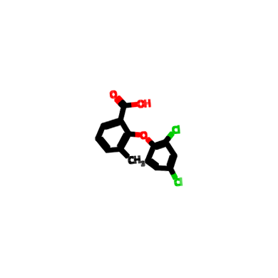 Cc1cccc(C(=O)O)c1Oc1ccc(Cl)cc1Cl